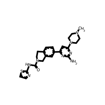 CN1CCN(c2cc(-c3ccc4c(c3)CN(C(=O)Nc3nccs3)CC4)nc(N)n2)CC1